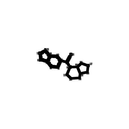 O=C(c1ccc2nonc2c1)N1CCCC2COCC21